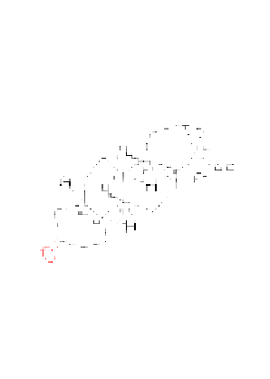 CC[C@]12CC[C@H]3[C@@H](CC[C@@H]4CC(=O)CC[C@@H]43)[C@@H]1CC1C[C@]12C(C)=O